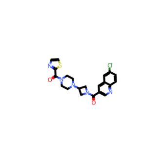 O=C(c1cnc2ccc(Cl)cc2c1)N1CC(N2CCN(C(=O)c3nccs3)CC2)C1